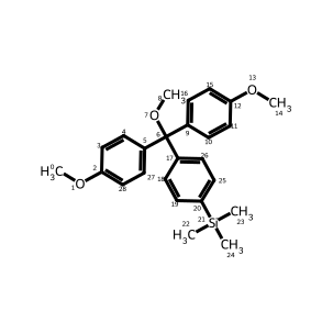 COc1ccc(C(OC)(c2ccc(OC)cc2)c2ccc([Si](C)(C)C)cc2)cc1